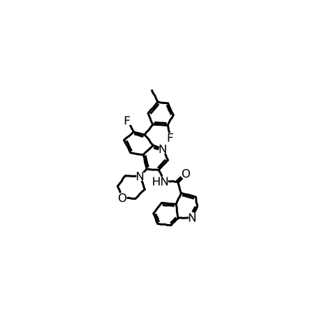 Cc1ccc(F)c(-c2c(F)ccc3c(N4CCOCC4)c(NC(=O)c4ccnc5ccccc45)cnc23)c1